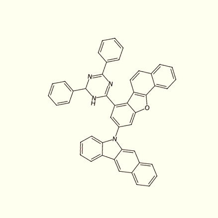 c1ccc(C2=NC(c3ccccc3)NC(c3cc(-n4c5ccccc5c5cc6ccccc6cc54)cc4oc5c6ccccc6ccc5c34)=N2)cc1